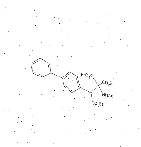 CCOC(=O)C(c1ccc(-c2ccccc2)cc1)C(NC(C)=O)(C(=O)OCC)C(=O)OCC